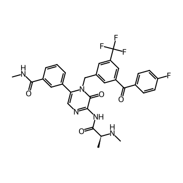 CNC(=O)c1cccc(-c2cnc(NC(=O)[C@H](C)NC)c(=O)n2Cc2cc(C(=O)c3ccc(F)cc3)cc(C(F)(F)F)c2)c1